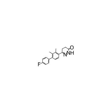 Cc1c(C2=NNC(=O)CC2)ccc(-c2ccc(F)cc2)c1C